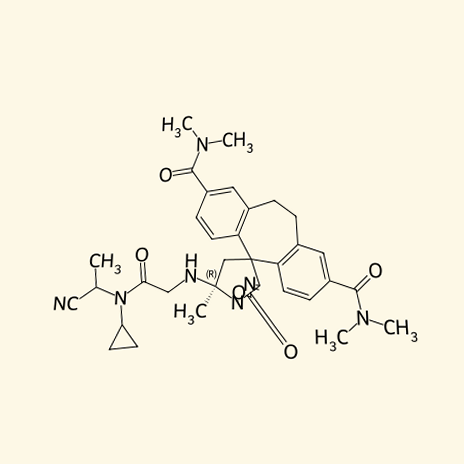 CC(C#N)N(C(=O)CN[C@@]1(C)CC2(c3ccc(C(=O)N(C)C)cc3CCc3cc(C(=O)N(C)C)ccc32)c2nc(=O)on21)C1CC1